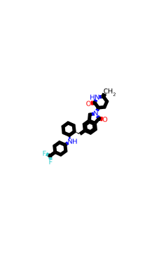 C=C1CCC(N2Cc3cc(C[C@H]4CCCC[C@@H]4NC4CCC(C(F)F)CC4)ccc3C2=O)C(=O)N1